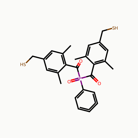 Cc1cc(CS)cc(C)c1C(=O)P(=O)(C(=O)c1c(C)cc(CS)cc1C)C1=CC=C=C=C1